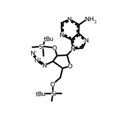 CC(C)(C)[Si](C)(C)OCC1OC(n2cnc3c(N)ncnc32)C(O[Si](C)(C)C(C)(C)C)C1N=[N+]=[N-]